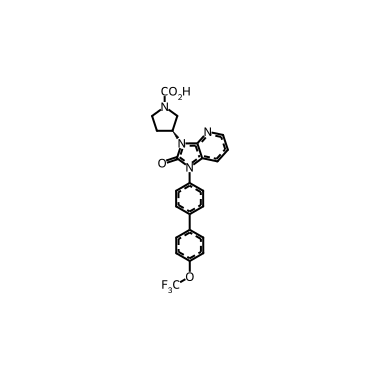 O=C(O)N1CC[C@H](n2c(=O)n(-c3ccc(-c4ccc(OC(F)(F)F)cc4)cc3)c3cccnc32)C1